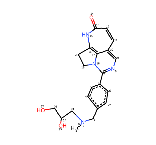 CN(Cc1ccc(C2=NC=C3C=CC(=O)NC4=C3N2CC4)cc1)CC(O)CO